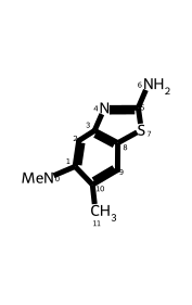 CNc1cc2nc(N)sc2cc1C